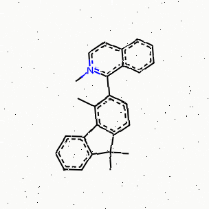 Cc1c(-c2c3ccccc3cc[n+]2C)ccc2c1-c1ccccc1C2(C)C